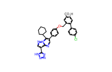 O=C(O)c1ccc(-c2ccc(Cl)cc2)c(COc2ccc(-c3cnc4c(-c5nnn[nH]5)cnn4c3C3CCCCC3)cc2)c1